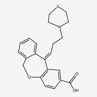 O=C(O)c1ccc2c(c1)/C(=C/CCN1CCSCC1)c1ccccc1CO2